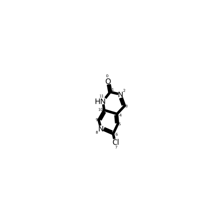 O=c1ncc2cc(Cl)ncc2[nH]1